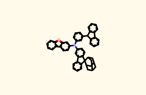 c1cc(C2c3ccccc3-c3ccccc32)cc(N(c2ccc3c(c2)-c2ccccc2C32C3CC4CC(C3)CC2C4)c2ccc3c(c2)oc2ccccc23)c1